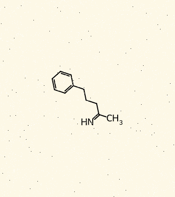 CC(=N)CCCc1ccccc1